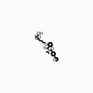 [2H]C(c1ccccc1OCCCCc1nnc(O)o1)N(C(=O)c1ccc(-c2ccco2)cc1)C(C)C